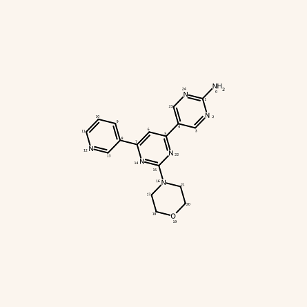 Nc1ncc(-c2cc(-c3cccnc3)nc(N3CCOCC3)n2)cn1